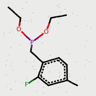 CCOP(Cc1ccc(C)cc1F)OCC